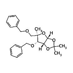 CC1(C)O[C@H]2O[C@](C)(COCc3ccccc3)[C@@H](OCc3ccccc3)[C@H]2O1